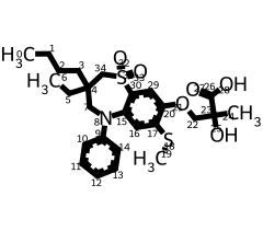 CCCCC1(CC)CN(c2ccccc2)c2cc(SC)c(OCC(C)(O)C(=O)O)cc2S(=O)(=O)C1